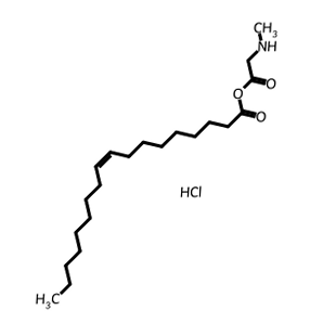 CCCCCCCC/C=C\CCCCCCCC(=O)OC(=O)CNC.Cl